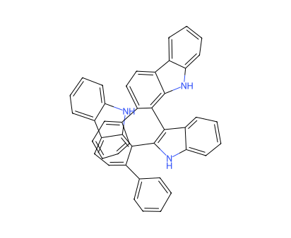 c1ccc(-c2ccc3c([nH]c4ccccc43)c2-c2[nH]c3ccccc3c2-c2c(-c3ccccc3)ccc3c2[nH]c2ccccc23)cc1